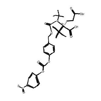 CC(C)(C)N(C(=O)OCc1ccc(OC(=O)Oc2ccc([N+](=O)[O-])cc2)cc1)[C@@](CCC(=O)O)(C(=O)O)C(C)(C)C